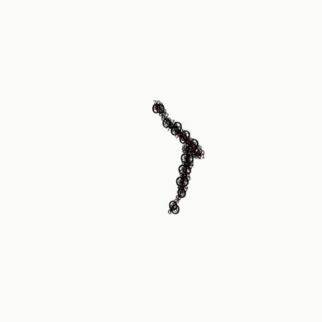 C=CC(=O)OCCCCCCOc1ccc(C(=O)Oc2ccc(C(=O)Oc3ccc(C(=O)Oc4cc(-c5c(OC(=O)c6ccc(OC(=O)c7ccc(OC(=O)c8ccc(OCCCCCCOC(=O)C=C)cc8)cc7)cc6)ccc6ccccc56)c5ccccc5c4)cc3)cc2)cc1